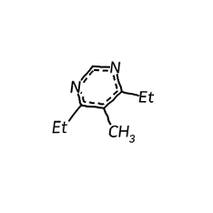 CCc1ncnc(CC)c1C